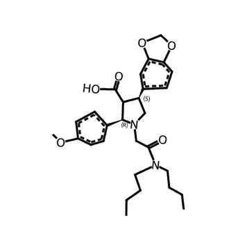 CCCCN(CCCC)C(=O)CN1C[C@H](c2ccc3c(c2)OCO3)C(C(=O)O)[C@@H]1c1ccc(OC)cc1